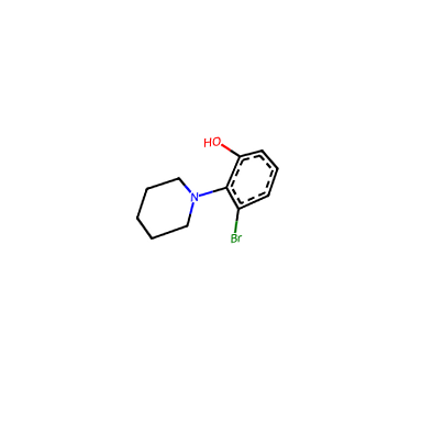 Oc1cccc(Br)c1N1CCCCC1